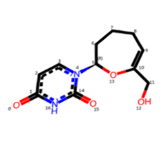 O=c1ccn([C@H]2CCCC=C(CO)O2)c(=O)[nH]1